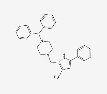 Cc1cc(-c2ccccc2)[nH]c1CN1CCN(C(c2ccccc2)c2ccccc2)CC1